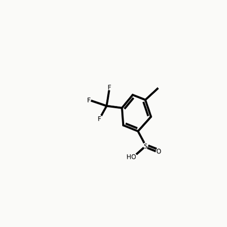 Cc1cc(S(=O)O)cc(C(F)(F)F)c1